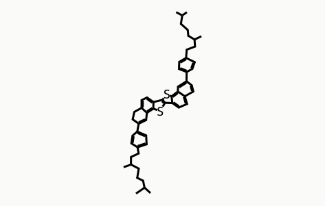 CC(C)CCCC(C)CCc1ccc(C2=Cc3c(ccc4c3sc3c5ccc6ccc(-c7ccc(CCC(C)CCCC(C)C)cc7)cc6c5sc43)CC2)cc1